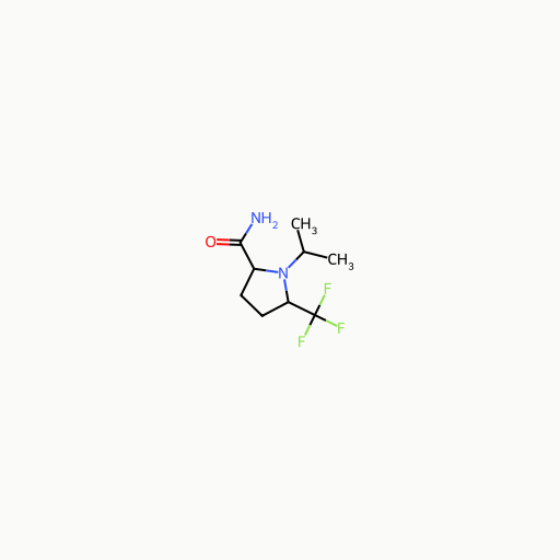 CC(C)N1C(C(N)=O)CCC1C(F)(F)F